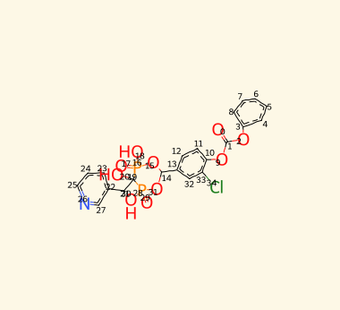 O=C(Oc1ccccc1)Oc1ccc(C2OP(=O)(O)C(O)(Cc3cccnc3)P(=O)(O)O2)cc1Cl